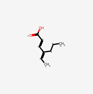 C/C=C(/C=C/C(=O)O)CCC